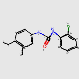 CCc1ccc(NC(=O)Nc2ccccc2Cl)cc1C